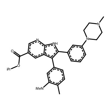 CNc1cc(-c2c(-c3cccc(N4CCN(C)CC4)c3)[nH]c3ncc(C(=O)OC(C)C)cc23)ccc1C